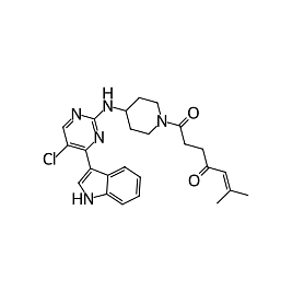 CC(C)=CC(=O)CCC(=O)N1CCC(Nc2ncc(Cl)c(-c3c[nH]c4ccccc34)n2)CC1